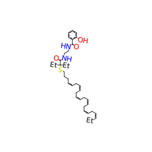 CC/C=C\C/C=C\C/C=C\C/C=C\C/C=C\C/C=C\CCCSC(CC)(CC)C(=O)NCCNC(=O)c1ccccc1O